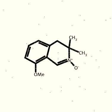 COc1cccc2c1C=[N+]([O-])C(C)(C)C2